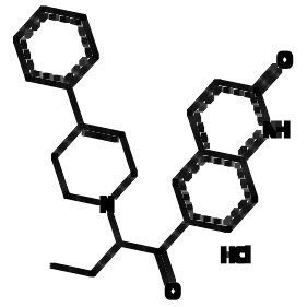 CCC(C(=O)c1ccc2[nH]c(=O)ccc2c1)N1CC=C(c2ccccc2)CC1.Cl